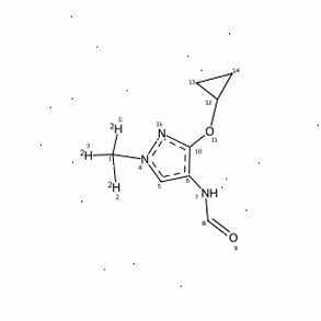 [2H]C([2H])([2H])n1cc(NC=O)c(OC2CC2)n1